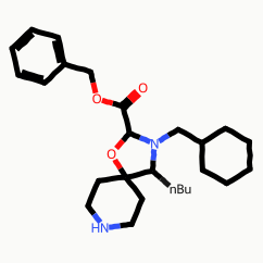 CCCCC1N(CC2CCCCC2)C(C(=O)OCc2ccccc2)OC12CCNCC2